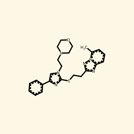 Cc1cccc2nc(CCSc3nc(-c4ccccc4)cn3CCN3CCOCC3)nn12